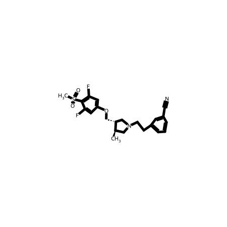 C[C@@H]1CN(CCc2cccc(C#N)c2)C[C@H]1COc1cc(F)c(S(C)(=O)=O)c(F)c1